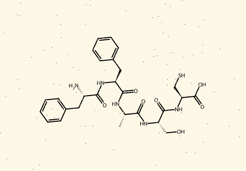 C[C@H](NC(=O)[C@H](Cc1ccccc1)NC(=O)[C@@H](N)Cc1ccccc1)C(=O)N[C@@H](CO)C(=O)N[C@@H](CS)C(=O)O